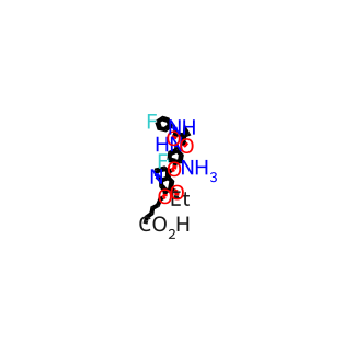 CCOc1cc2c(Oc3ccc(NC(=O)C4(C(=O)Nc5ccc(F)cc5)CC4)cc3F)ccnc2cc1OCCCCCC(=O)O.N